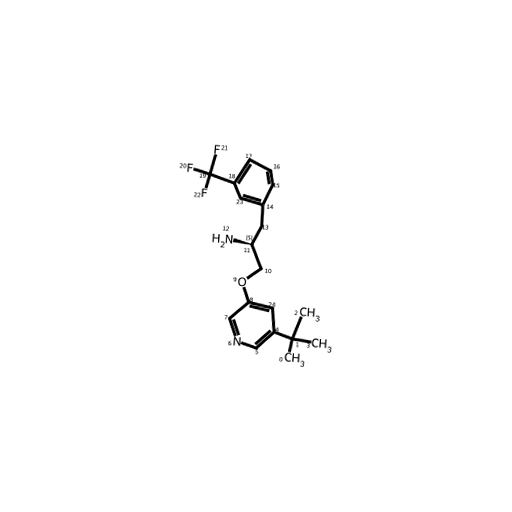 CC(C)(C)c1cncc(OC[C@@H](N)Cc2cccc(C(F)(F)F)c2)c1